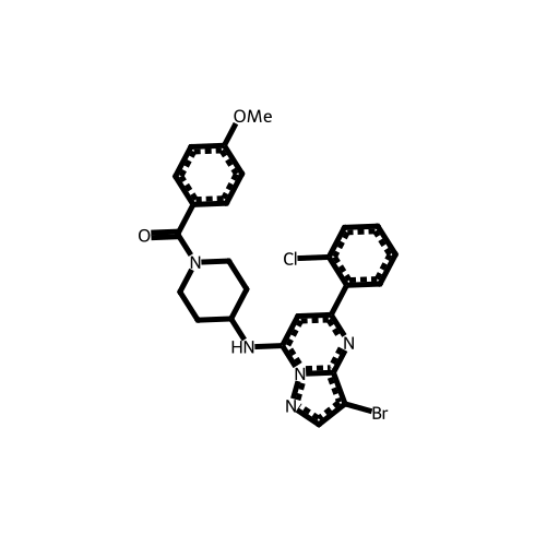 COc1ccc(C(=O)N2CCC(Nc3cc(-c4ccccc4Cl)nc4c(Br)cnn34)CC2)cc1